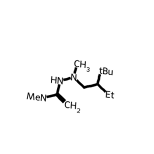 C=C(NC)NN(C)CC(CC)C(C)(C)C